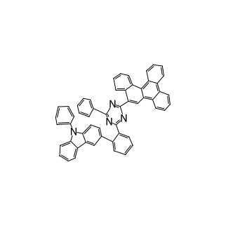 c1ccc(-c2nc(-c3ccccc3-c3ccc4c(c3)c3ccccc3n4-c3ccccc3)nc(-c3cc4c5ccccc5c5ccccc5c4c4ccccc34)n2)cc1